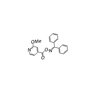 COc1cc(C(=O)ON=C(c2ccccc2)c2ccccc2)ccn1